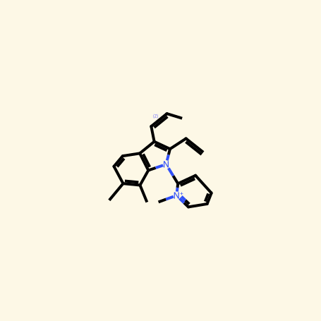 C=Cc1c(/C=C\C)c2ccc(C)c(C)c2n1-c1cccc[n+]1C